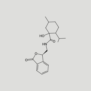 CC1CCC(C(C)C)C(O)(C(=O)NC[C@@H]2OC(=O)c3ccccc32)C1